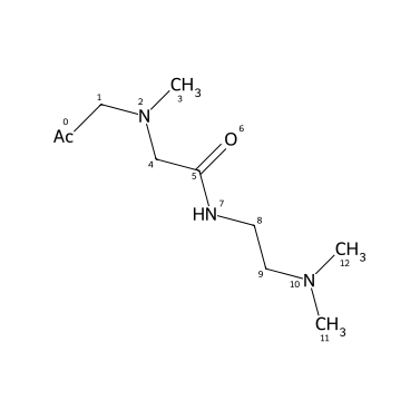 CC(=O)CN(C)CC(=O)NCCN(C)C